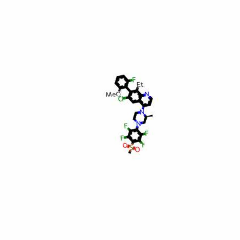 CCc1c(-c2c(F)cccc2OC)c(Cl)cc2c(N3CCN(c4c(F)c(F)c(S(C)(=O)=O)c(F)c4F)C[C@@H]3C)ccnc12